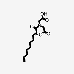 C=CCCCCCCCC(=O)N(CC(=O)O)CC(=O)O